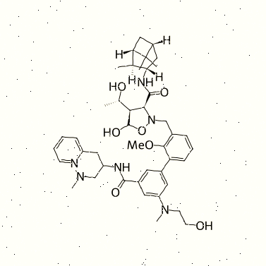 COc1c(CN2OC(O)[C@@H]([C@H](C)O)[C@H]2C(=O)N[C@H]2C[C@H]3C[C@@H]([C@@H]2C)C3(C)C)cccc1-c1cc(C(=O)NC(Cc2ccccn2)CN(C)C)cc(N(C)CCO)c1